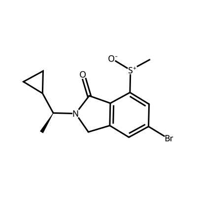 C[C@@H](C1CC1)N1Cc2cc(Br)cc([S+](C)[O-])c2C1=O